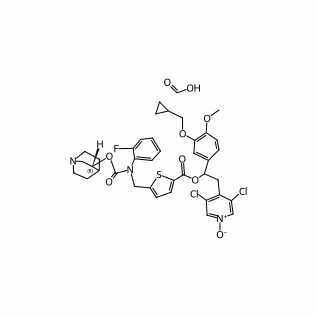 COc1ccc(C(Cc2c(Cl)c[n+]([O-])cc2Cl)OC(=O)c2ccc(CN(C(=O)O[C@H]3CN4CCC3CC4)c3ccccc3F)s2)cc1OCC1CC1.O=CO